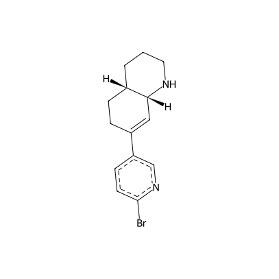 Brc1ccc(C2=C[C@H]3NCCC[C@H]3CC2)cn1